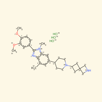 COc1ccc(-c2nc3c(C)cc(C4CCN(C5CC6(CNC6)C5)CC4)cc3n2C)cc1OC.Cl.Cl.Cl